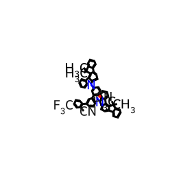 CC1(C)c2ccccc2-c2ccc3c(c21)c1ccccc1n3-c1ccc(C#N)c(-c2cc(-c3ccc(C(F)(F)F)cc3C#N)ccc2-n2c3ccccc3c3c4c(ccc32)-c2ccccc2C4(C)C)c1